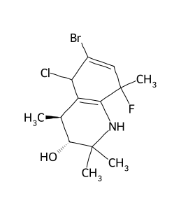 C[C@H]1C2=C(NC(C)(C)[C@@H]1O)C(C)(F)C=C(Br)C2Cl